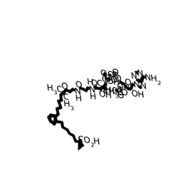 CC(C)(CCCCCCc1ccccc1CCCCCCC1(C(=O)O)CC1)C(=O)CCNC(=O)CCNC(=O)C(O)C(C)(C)COP(=O)(O)OP(=O)(O)OCC1OC(n2cnc3c(N)ncnc32)C(O)C1OP(=O)(O)O